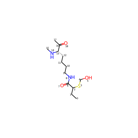 CCC(SCO)C(=O)NCCCC[C@H](NC)C(C)=O